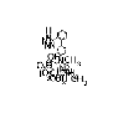 CCOCC1(C)N(c2ccc(-c3ccccc3-c3nnn[nH]3)cc2)C(C(=O)O)C(c2oc(=O)oc2C)(C(C)(C)O)N1C